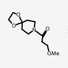 COCCC(=O)N1CCC2(CC1)OCCO2